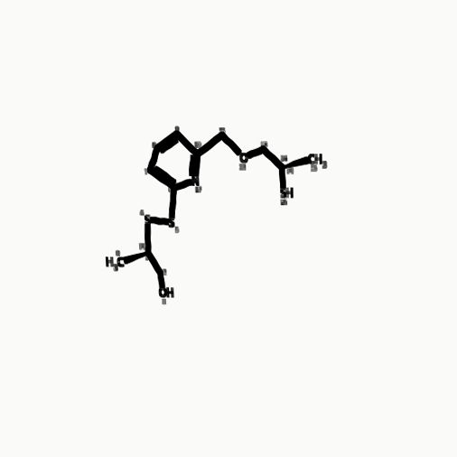 C[C@H](CO)SSc1cccc(COC[C@@H](C)S)n1